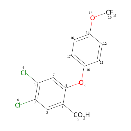 O=C(O)c1cc(Cl)c(Cl)cc1Oc1ccc(OC(F)(F)F)cc1